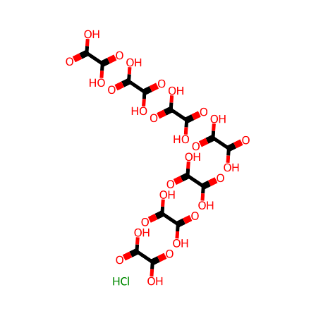 Cl.O=C(O)C(=O)O.O=C(O)C(=O)O.O=C(O)C(=O)O.O=C(O)C(=O)O.O=C(O)C(=O)O.O=C(O)C(=O)O.O=C(O)C(=O)O